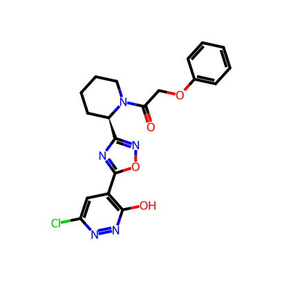 O=C(COc1ccccc1)N1CCCC[C@@H]1c1noc(-c2cc(Cl)nnc2O)n1